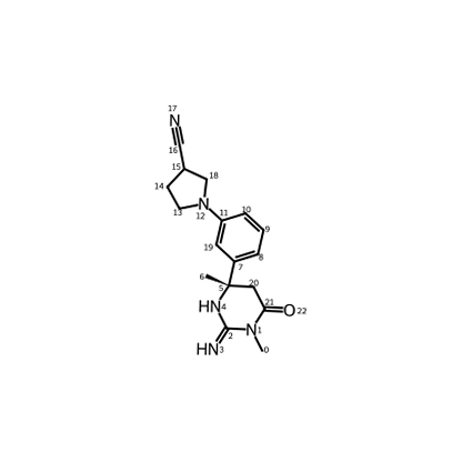 CN1C(=N)N[C@](C)(c2cccc(N3CCC(C#N)C3)c2)CC1=O